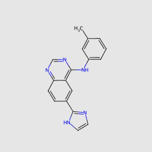 Cc1cccc(Nc2ncnc3ccc(-c4ncc[nH]4)cc23)c1